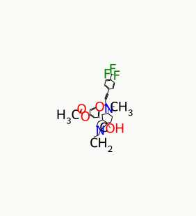 C=CCN1CC[C@@]2(c3cccc(OC(C)=O)c3)C[C@@H](N(C)C(=O)C#Cc3ccc(C(F)(F)F)cc3)CC[C@]2(O)C1